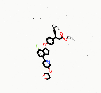 CC#CC(CC(=O)OC)c1ccc(O[C@@H]2CCc3c(-c4ccc(O[C@@H]5CCOC5)cn4)ccc(F)c32)cc1